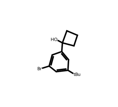 CC(C)(C)c1cc(Br)cc(C2(O)CCC2)c1